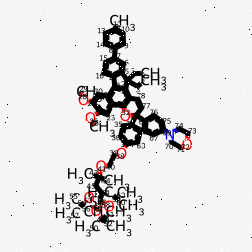 CCC1(CC)c2cc(-c3ccc(C)cc3)ccc2-c2c1c1c(c3cc(OC)c(OC)cc23)OC(c2ccc(OCCOC(C)(C)CC[Si](OC(C)(C)C)(OC(C)(C)C)OC(C)(C)C)cc2)(c2ccc(N3CCOCC3)cc2)C=C1